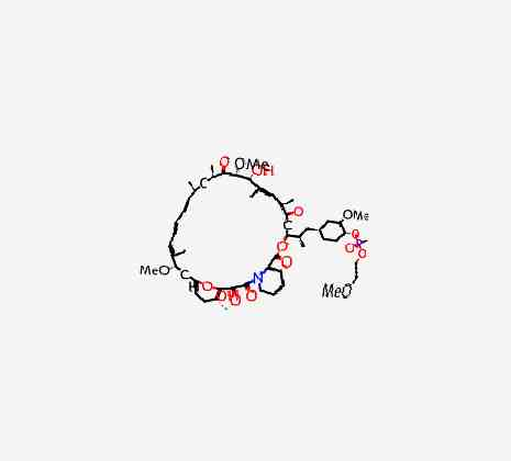 COCCOP(C)(=O)O[C@@H]1CC[C@@H](C[C@@H](C)[C@@H]2CC(=O)[C@H](C)/C=C(\C)[C@@H](O)[C@@H](OC)C(=O)[C@H](C)C[C@H](C)/C=C/C=C/C=C(\C)[C@@H](OC)C[C@@H]3CC[C@@H](C)C(O)(O3)C(=O)C(=O)N3CCCCC3C(=O)O2)C[C@H]1OC